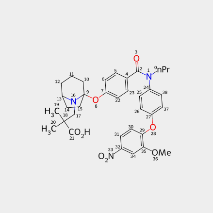 CCCN(C(=O)c1ccc(OC23CCCC(CC2)N3CC(C)(C)C(=O)O)cc1)c1ccc(Oc2ccc([N+](=O)[O-])cc2OC)cc1